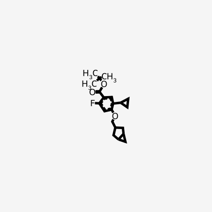 CC(C)(C)OC(=O)c1cc(C2CC2)c(OCC2CC3CC3C2)cc1F